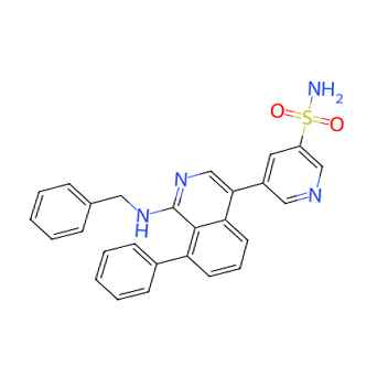 NS(=O)(=O)c1cncc(-c2cnc(NCc3ccccc3)c3c(-c4ccccc4)cccc23)c1